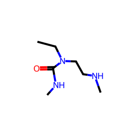 CCN(CCNC)C(=O)NC